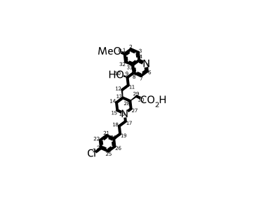 COc1ccc2nccc([C@H](O)CC[C@@H]3CCN(CCCc4ccc(Cl)cc4)C[C@@H]3CC(=O)O)c2c1